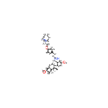 COc1ccc(C2CCc3cc(OC)ccc3C2(C)C)c(CNCCc2ccc(OCCN3CCCCCC3)cc2)c1